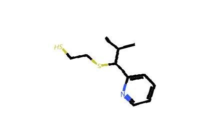 CC(C)C(SCCS)c1ccccn1